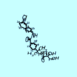 CC(C)(CNC(=O)C(O)CO)c1ccc(C(=O)Nc2cn3cc(Cl)ccc3n2)cc1